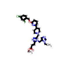 CCn1cncc1Cn1c(/C=C/C(=O)OC)nnc1CN1CCC(c2cccc(OCc3ccc(Cl)cc3F)n2)CC1